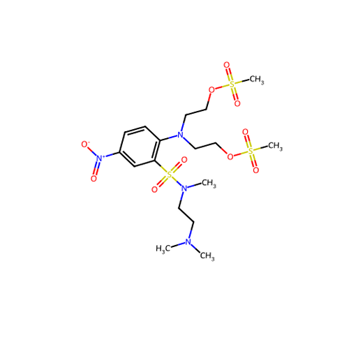 CN(C)CCN(C)S(=O)(=O)c1cc([N+](=O)[O-])ccc1N(CCOS(C)(=O)=O)CCOS(C)(=O)=O